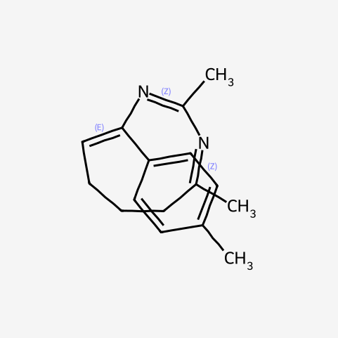 C/C1=N/C(C)=N\C(c2ccc(C)cc2)=C\CCC1